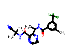 Cc1cc(C(=O)NC(C)c2nccnc2C(=O)NC(C)(C)C#N)cc(C(F)(F)F)c1